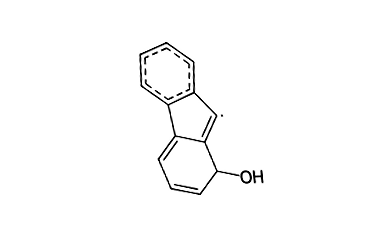 OC1C=CC=C2C1=[C]c1ccccc12